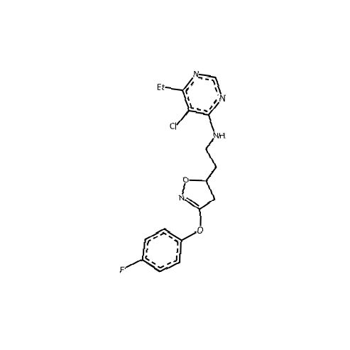 CCc1ncnc(NCCC2CC(Oc3ccc(F)cc3)=NO2)c1Cl